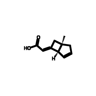 C[C@]12CC=C[C@H]1C(=CC(=O)O)C2